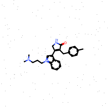 Cc1ccc(CC2=C(c3cn(CCCN(C)C)c4ccccc34)CNC2=O)cc1